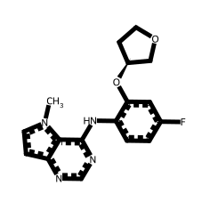 Cn1ccc2ncnc(Nc3ccc(F)cc3O[C@H]3CCOC3)c21